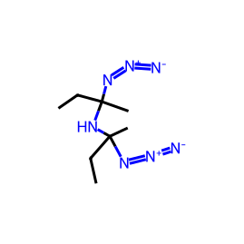 CCC(C)(N=[N+]=[N-])NC(C)(CC)N=[N+]=[N-]